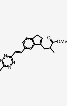 COC(=O)C(C)CC1=CCc2ccc(/C=C/c3nnc(C)nn3)cc21